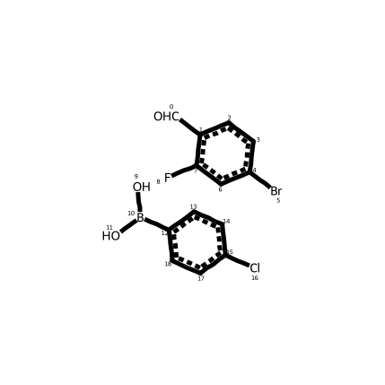 O=Cc1ccc(Br)cc1F.OB(O)c1ccc(Cl)cc1